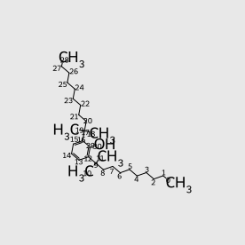 CCCCCCCCCC(C)(C)c1cccc(C(C)(C)CCCCCCCCC)c1O